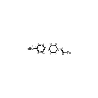 CCCCc1ccc([C@H]2CC[C@H](C=CF)CC2)cc1